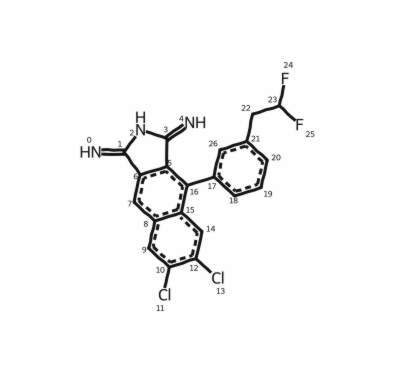 N=C1NC(=N)c2c1cc1cc(Cl)c(Cl)cc1c2-c1cccc(CC(F)F)c1